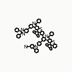 N#Cc1ccc2c(c1)c1ccccc1n2-c1ccc(-c2cc(-c3ccc4c(c3)C3(c5cc6c(cc5S4)c(-c4ccccc4)nc4ccc(-c5ccc7nc(-c8ccccc8)c(-c8ccccc8)nc7c5)cc46)c4ccccc4-c4ccccc43)c3nc(-c4ccccc4)c4cc5c(cc4c3c2)C2(c3ccccc3S5)c3ccccc3-c3ccccc32)cc1